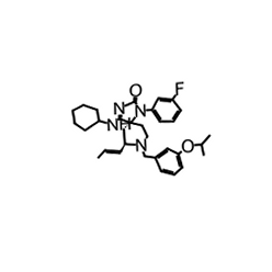 CC=C[C@H]1C[C@]2(CCN1Cc1cccc(OC(C)C)c1)C(NC1CCCCC1)=NC(=O)N2c1cccc(F)c1